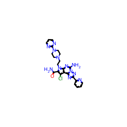 NC(=O)c1c(Cl)c2c(nc(N)n3nc(-c4ccccn4)nc23)n1CCN1CCN(c2ncccn2)CC1